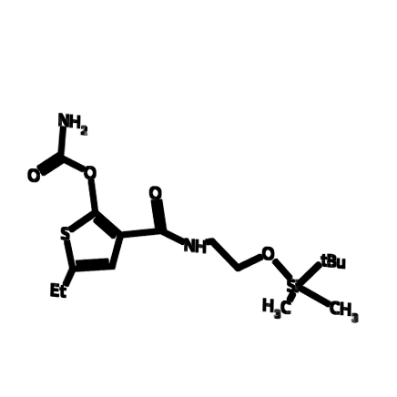 CCc1cc(C(=O)NCCO[Si](C)(C)C(C)(C)C)c(OC(N)=O)s1